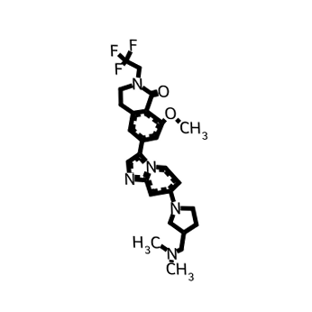 COc1cc(-c2cnc3cc(N4CCC(CN(C)C)C4)ccn23)cc2c1C(=O)N(CC(F)(F)F)CC2